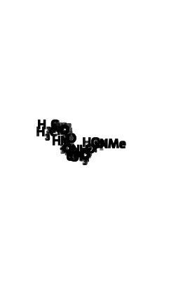 CNCC(O)COc1cccc(C(=O)Nc2cc(NC(=O)c3cccc(N(C)C)c3)ccc2C)c1